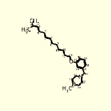 CC(C)CCCCCCCCCCCOc1cccc(CN2CCN(C)CC2)c1